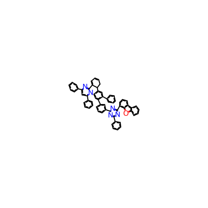 C1=CCC(c2ccc(-c3cccc(-c4nc(-c5ccccc5)nc(-c5cccc6c5oc5ccccc56)n4)c3)c(-c3ccccc3)c2)C(c2nc(-c3ccccc3)cc(-c3ccccc3)n2)=C1